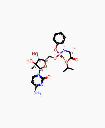 CC(C)OC(=O)[C@@H](C)NP(=S)(OC[C@H]1O[C@@H](n2ccc(N)nc2=O)[C@](C)(O)[C@@H]1O)Oc1ccccc1